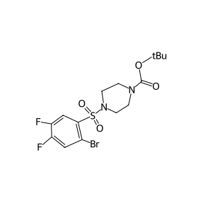 CC(C)(C)OC(=O)N1CCN(S(=O)(=O)c2cc(F)c(F)cc2Br)CC1